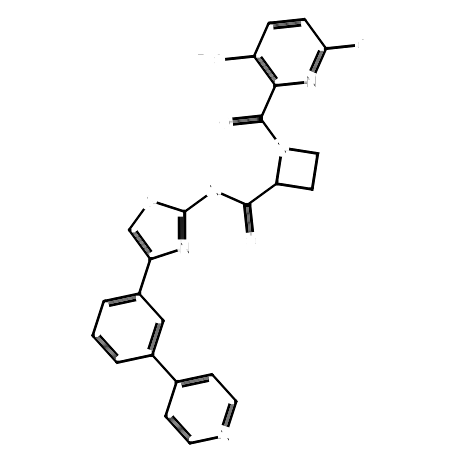 O=C(Nc1nc(-c2cccc(-c3ccncc3)c2)cs1)C1CCN1C(=O)c1nc(Cl)ccc1C(F)(F)F